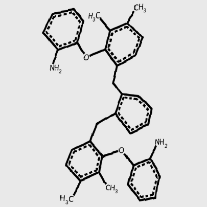 Cc1ccc(Cc2ccccc2Cc2ccc(C)c(C)c2Oc2ccccc2N)c(Oc2ccccc2N)c1C